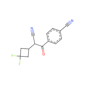 N#Cc1ccc(C(=O)C(C#N)C2CC(F)(F)C2)cc1